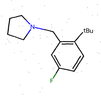 CC(C)(C)c1ccc(F)cc1CN1CCCC1